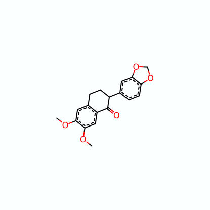 COc1cc2c(cc1OC)C(=O)C(c1ccc3c(c1)OCO3)CC2